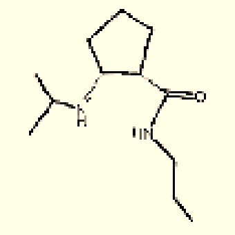 CCCNC(=O)[C@H]1CCC[C@H]1NC(C)C